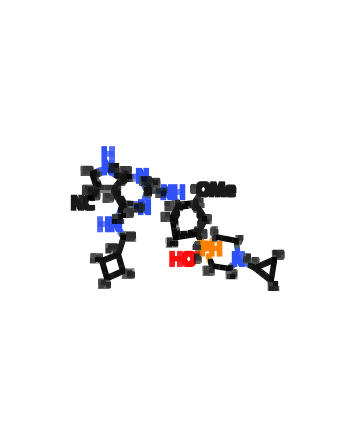 COc1cc([PH]2(O)CCN(C3CC3)CC2)ccc1Nc1nc(NCC2CCC2)c2c(C#N)c[nH]c2n1